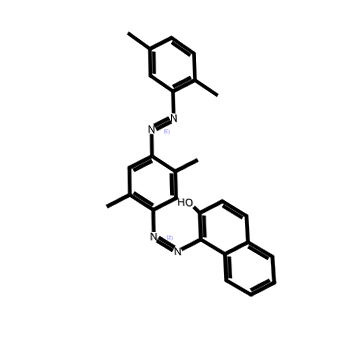 Cc1ccc(C)c(/N=N/c2cc(C)c(/N=N\c3c(O)ccc4ccccc34)cc2C)c1